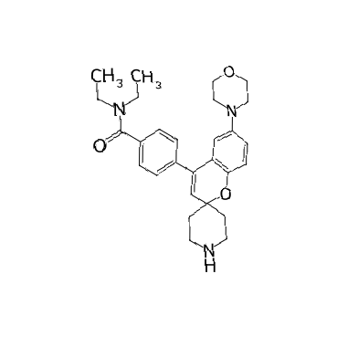 CCN(CC)C(=O)c1ccc(C2=CC3(CCNCC3)Oc3ccc(N4CCOCC4)cc32)cc1